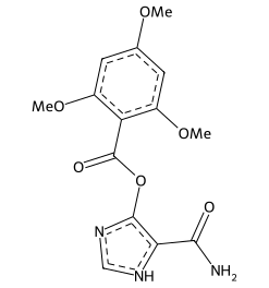 COc1cc(OC)c(C(=O)Oc2nc[nH]c2C(N)=O)c(OC)c1